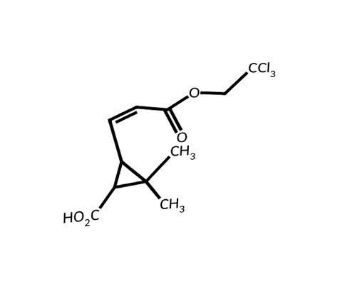 CC1(C)C(/C=C\C(=O)OCC(Cl)(Cl)Cl)C1C(=O)O